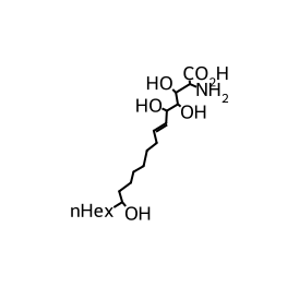 CCCCCCC(O)CCCCCC/C=C/C(O)C(O)C(O)C(N)C(=O)O